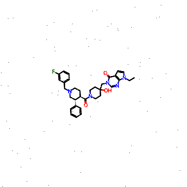 CCn1ccc2c(=O)n(CC3(O)CCN(C(=O)[C@@H]4CCN(Cc5cccc(F)c5)C[C@H]4c4ccccc4)CC3)cnc21